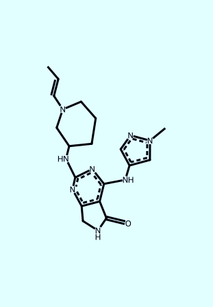 CC=CN1CCCC(Nc2nc3c(c(Nc4cnn(C)c4)n2)C(=O)NC3)C1